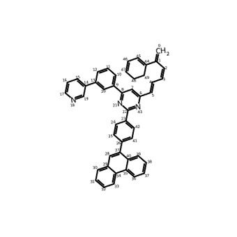 C=C(/C=C\C=C\c1cc(-c2cccc(-c3cccnc3)c2)nc(-c2ccc(-c3cc4ccccc4c4ccccc34)cc2)n1)C1=CC=CCC1